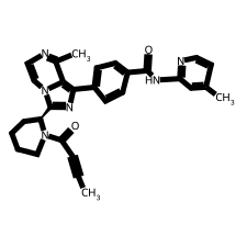 CC#CC(=O)N1CCCC[C@H]1c1nc(-c2ccc(C(=O)Nc3cc(C)ccn3)cc2)c2c(C)nccn12